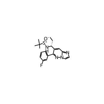 CC[C@@H](N[S+]([O-])C(C)(C)C)c1cc2nccn2nc1-c1cccc(F)c1